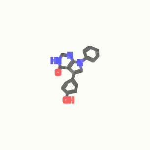 O=c1[nH]cnc2c1c(-c1ccc(O)cc1)cn2-c1ccccc1